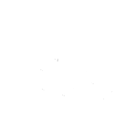 C#Cc1cccc(Nc2ncnc3c2/C(=C/c2ccc(C(=O)O)[nH]2)C(=O)N3)c1